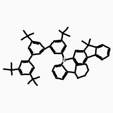 CC(C)(C)c1cc(-c2cc(N(c3ccc4c(c3)C(C)(C)c3ccccc3-4)c3ccccc3C3CCCCC3)cc(C(C)(C)C)c2)cc(-c2cc(C(C)(C)C)cc(C(C)(C)C)c2)c1